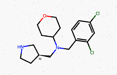 Clc1ccc(CN(C[C@H]2CCNC2)C2CCOCC2)c(Cl)c1